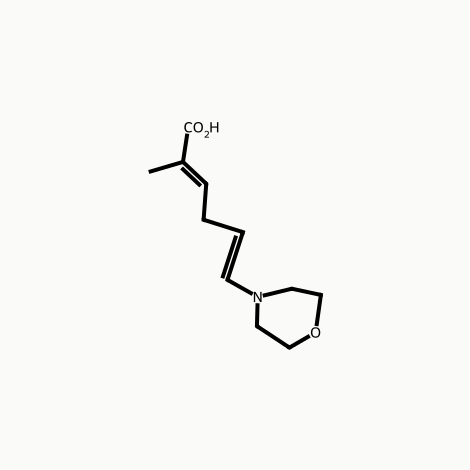 CC(=CCC=CN1CCOCC1)C(=O)O